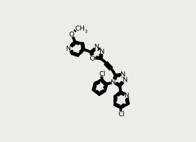 COc1cc(-c2nnc(C#Cc3nnc(-c4ccc(Cl)cn4)n3-c3ccccc3Cl)o2)ccn1